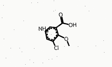 COc1c(Cl)cccc1C(=O)O.N